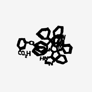 O=C(O)c1cccc(Oc2cccc(N(C(c3cnc[nH]3)C(c3ccccc3)(c3ccccc3)c3ccccc3)C(c3cnc[nH]3)C(c3ccccc3)(c3ccccc3)c3ccccc3)c2)c1